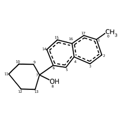 Cc1ccc2cc(C3(O)CCCCC3)ccc2c1